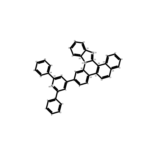 c1ccc(-c2cc(-c3ccc4c5ccc6ccccc6c5c5nc6ccccc6n5c4c3)cc(-c3ccccc3)n2)cc1